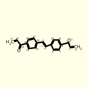 C=CC(=O)c1ccc(/C=C/c2ccc(C(=O)C=C)cc2)cc1